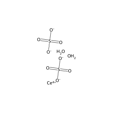 O.O.O=S(=O)([O-])[O-].O=S(=O)([O-])[O-].[Ce+4]